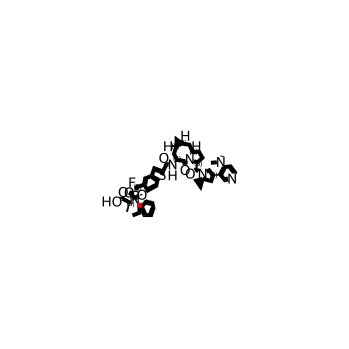 CCCN([C@@H](C)C(=O)O)[P@](=O)(Oc1ccccc1)[C@@H](F)c1ccc2sc(C(=O)N[C@H]3C[C@@H]4C[C@@H]4C[C@H]4CC[C@@H](C(=O)N5C[C@@H](c6cnccc6N(C)C)CC56CC6)N4C3=O)cc2c1